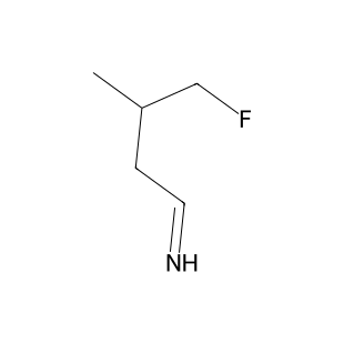 CC(CF)CC=N